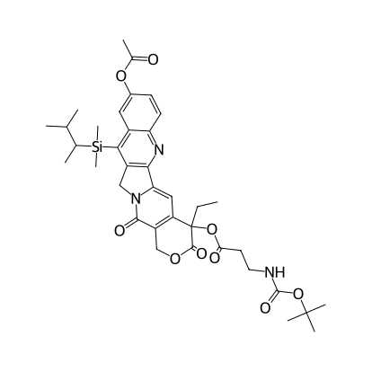 CCC1(OC(=O)CCNC(=O)OC(C)(C)C)C(=O)OCc2c1cc1n(c2=O)Cc2c-1nc1ccc(OC(C)=O)cc1c2[Si](C)(C)C(C)C(C)C